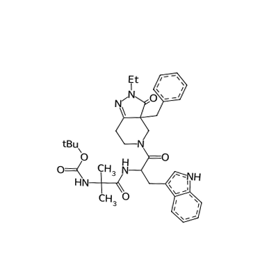 CCN1N=C2CCN(C(=O)C(Cc3c[nH]c4ccccc34)NC(=O)C(C)(C)NC(=O)OC(C)(C)C)CC2(Cc2ccccc2)C1=O